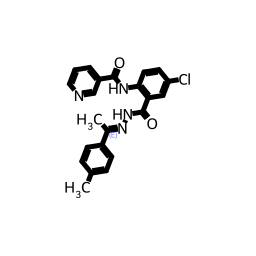 C/C(=N\NC(=O)c1cc(Cl)ccc1NC(=O)c1cccnc1)c1ccc(C)cc1